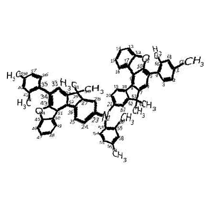 Cc1ccc(-c2cc3c(c4c2oc2ccccc24)-c2ccc(N(c4ccc5c(c4)C(C)(C)c4cc(-c6ccc(C)cc6C)c6oc7ccccc7c6c4-5)c4ccc(C)cc4C)cc2C3(C)C)c(C)c1